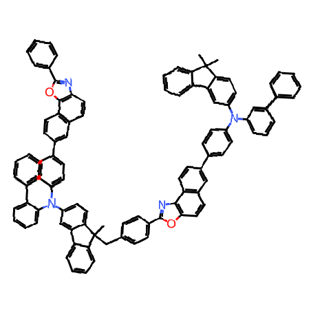 CC1(C)c2ccccc2-c2cc(N(c3ccc(-c4ccc5c(ccc6oc(-c7ccc(CC8(C)c9ccccc9-c9cc(N(c%10ccc(-c%11ccc%12c(ccc%13nc(-c%14ccccc%14)oc%13%12)c%11)cc%10)c%10ccccc%10-c%10ccccc%10)ccc98)cc7)nc65)c4)cc3)c3cccc(-c4ccccc4)c3)ccc21